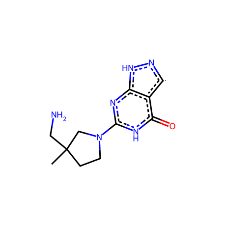 CC1(CN)CCN(c2nc3[nH]n[c]c3c(=O)[nH]2)C1